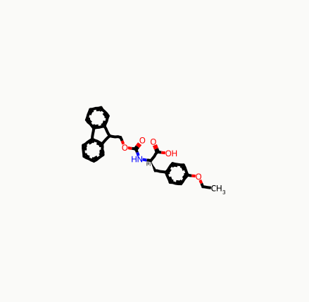 CCOc1ccc(C[C@@H](NC(=O)OCC2c3ccccc3-c3ccccc32)C(=O)O)cc1